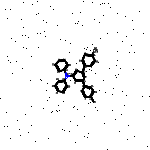 Cc1ccc(-c2cc(-c3ccc(C#N)cc3)cc(N(c3ccccc3)c3ccccc3)c2)cc1